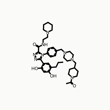 CCCc1cc(-c2nnc(C(=O)NCCN3CCCCC3)n2-c2ccc(CN3CCN(CC4CCN(C(C)=O)CC4)CC3)cc2)c(O)cc1O